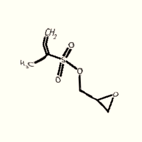 C=C(C)S(=O)(=O)OCC1CO1